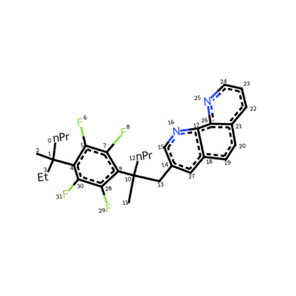 CCCC(C)(CC)c1c(F)c(F)c(C(C)(CCC)Cc2cnc3c(ccc4cccnc43)c2)c(F)c1F